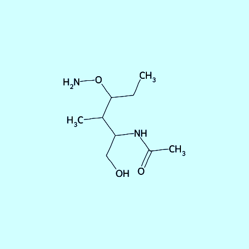 CCC(ON)C(C)C(CO)NC(C)=O